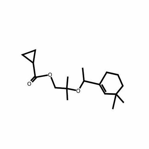 CC(OC(C)(C)COC(=O)C1CC1)C1=CC(C)(C)CCC1